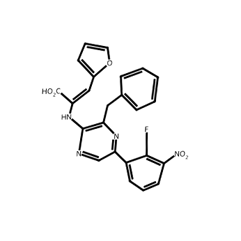 O=C(O)C(=Cc1ccco1)Nc1ncc(-c2cccc([N+](=O)[O-])c2F)nc1Cc1ccccc1